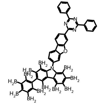 Bc1c(B)c(B)c(-c2c(B)c(B)c3c(c2B)c2c(B)c(B)c(B)c(B)c2n3-c2ccc3c(c2)oc2cc(-c4nc(-c5ccccc5)nc(-c5ccccc5)n4)ccc23)c(B)c1B